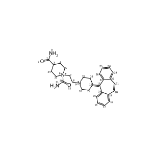 NC(=O)C1CC[N+](CCN2CCC(=C3c4ccccc4C=Cc4ccccc43)CC2)(C(N)=O)CC1